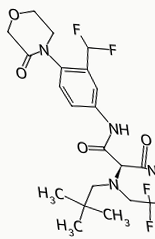 CC(C)(C)CN(CC(F)(F)F)[C@H](C(N)=O)C(=O)Nc1ccc(N2CCOCC2=O)c(C(F)F)c1